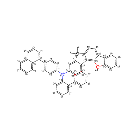 C[Si]1(C)c2cc(N(c3ccc(-c4cccc5ccccc45)cc3)c3ccccc3-c3ccccc3)ccc2-c2c1ccc1c2oc2ccccc21